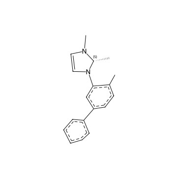 Cc1ccc(-c2ccccc2)cc1N1C=CN(C)[C@@H]1C